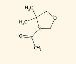 CC(=O)N1COCC1(C)C